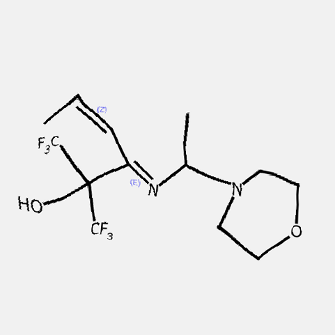 C/C=C\C(=N/C(C)N1CCOCC1)C(O)(C(F)(F)F)C(F)(F)F